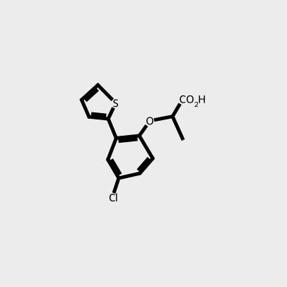 CC(Oc1ccc(Cl)cc1-c1cccs1)C(=O)O